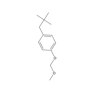 COCOc1ccc(CC(C)(C)C)cc1